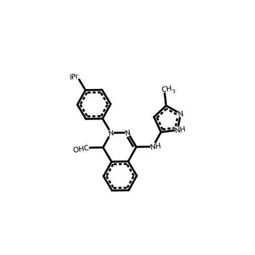 Cc1cc(NC2=NN(c3ccc(C(C)C)cc3)C(C=O)c3ccccc32)[nH]n1